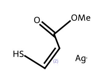 COC(=O)/C=C\S.[Ag]